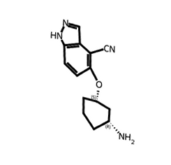 N#Cc1c(O[C@H]2CCC[C@@H](N)C2)ccc2[nH]ncc12